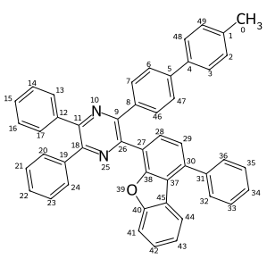 Cc1ccc(-c2ccc(-c3nc(-c4ccccc4)c(-c4ccccc4)nc3-c3ccc(-c4ccccc4)c4c3oc3ccccc34)cc2)cc1